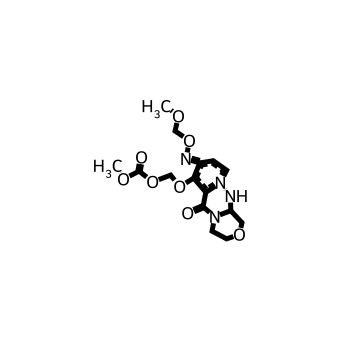 COCO/N=c1\ccn2c(c1OCOC(=O)OC)C(=O)N1CCOCC1N2